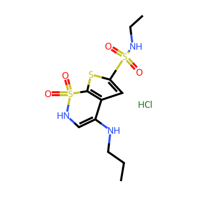 CCCNC1=CNS(=O)(=O)c2sc(S(=O)(=O)NCC)cc21.Cl